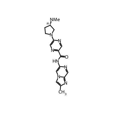 CN[C@@H]1CCN(c2cnc(C(=O)Nc3cn4cc(C)nc4cn3)cn2)C1